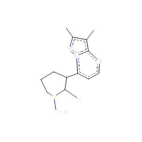 CC(=O)c1c(C)nn2c(C3CCCN(C(=O)O)C3C(C)(C)C)ccnc12